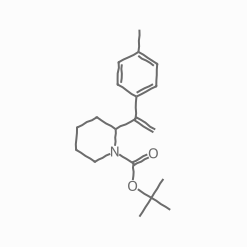 C=C(c1ccc(C)cc1)C1CCCCN1C(=O)OC(C)(C)C